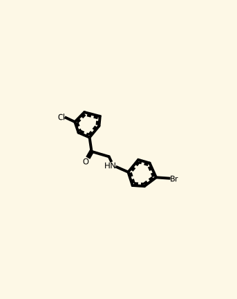 O=C(CNc1ccc(Br)cc1)c1cccc(Cl)c1